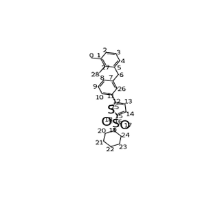 Cc1cccc(Cc2cccc(-c3ccc(S(=O)(=O)C4CCCCC4)s3)c2)c1C